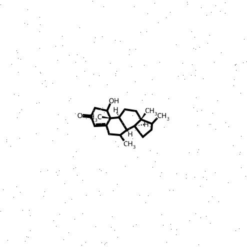 CC1CC2=CC(=O)CC(O)[C@]2(C)[C@H]2CC[C@]3(C)C(C)CC[C@H]3[C@H]12